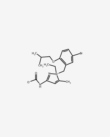 CC[N+]1(Cc2cc(Br)ccc2OCC(C)C)N=C(NC(=O)[O-])C=C1C